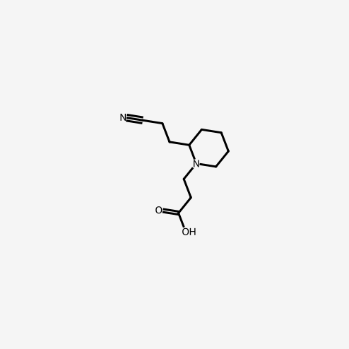 N#CCCC1CCCCN1CCC(=O)O